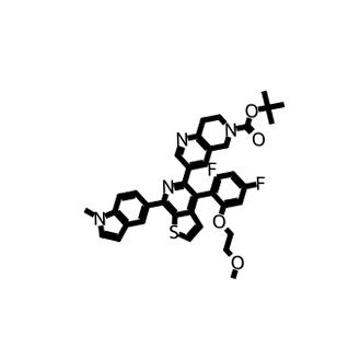 COCCOc1cc(F)cc(F)c1-c1c(-c2cnc3c(c2)CN(C(=O)OC(C)(C)C)CC3)nc(-c2ccc3c(ccn3C)c2)c2sccc12